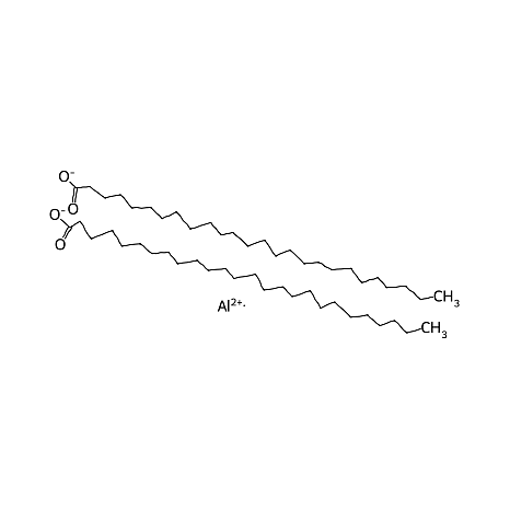 CCCCCCCCCCCCCCCCCCCCCCCCCC(=O)[O-].CCCCCCCCCCCCCCCCCCCCCCCCCC(=O)[O-].[Al+2]